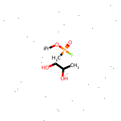 CC(C)OP(C)(=O)F.CC(O)CO